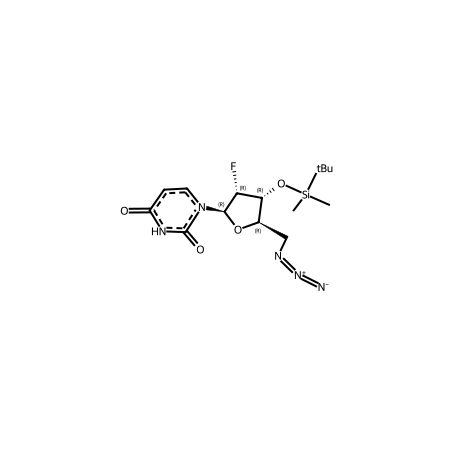 CC(C)(C)[Si](C)(C)O[C@H]1[C@@H](F)[C@H](n2ccc(=O)[nH]c2=O)O[C@@H]1CN=[N+]=[N-]